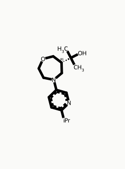 CC(C)c1ccc(N2CCOC[C@H](C(C)(C)O)C2)cn1